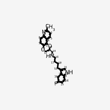 Cc1ccc2c3c(ccc2n1)OC[C@H](CNCCCCc1c[nH]c2ccc(F)cc12)O3